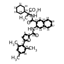 Cc1cc(C)c(-c2ccc(C(=O)Nc3cc4ccccc4cc3C(=O)N[C@](C)(C(=O)O)C3CCCCC3)o2)c(C)c1